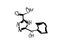 O=C(O)c1nnc([C@@H](O)c2ccccc2)[nH]1